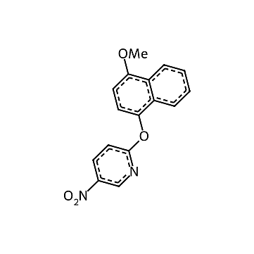 COc1ccc(Oc2ccc([N+](=O)[O-])cn2)c2ccccc12